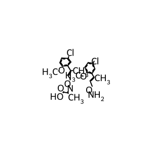 COc1ccc(Cl)cc1/C(C)=C/CO/N=C(/C)C(=O)O.COc1ccc(Cl)cc1/C(C)=C/CON